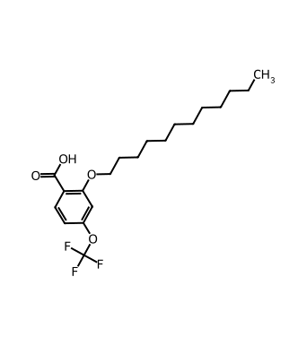 CCCCCCCCCCCCOc1cc(OC(F)(F)F)ccc1C(=O)O